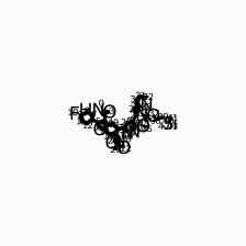 CNC(=O)c1c(-c2ccc(F)cc2)oc2cc(N(C)S(C)(=O)=O)c(-c3cc(-c4cc5cccnc5n4COCC[Si](C)(C)C)c(OC)nn3)cc12